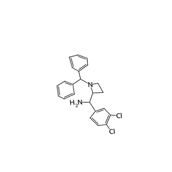 NC(c1ccc(Cl)c(Cl)c1)C1CCN1C(c1ccccc1)c1ccccc1